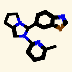 Cc1cccc(N2C=C3CCCN3C2c2ccc3ncsc3c2)n1